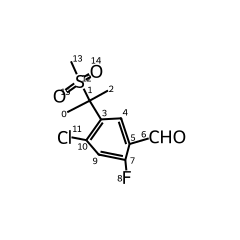 CC(C)(c1cc(C=O)c(F)cc1Cl)S(C)(=O)=O